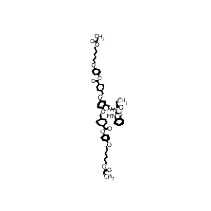 C=CC(=O)OCCCCCCOc1ccc(OC(=O)C2CCC(COc3ccc(OCC4CCC(C(=O)Oc5ccc(OCCCCCCOC(=O)C=C)cc5)CC4)c(/C=N/N(C(=O)C=C)C4Nc5ccccc5S4)c3)CC2)cc1